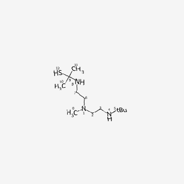 CN(CCNC(C)(C)C)CCNC(C)(C)S